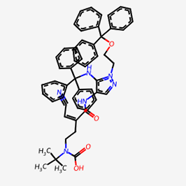 CC(C)(C)N(CC/C(=C/C#N)C(=O)Nc1cnn(CCOC(c2ccccc2)(c2ccccc2)c2ccccc2)c1NC(c1ccccc1)(c1ccccc1)c1ccccc1)C(=O)O